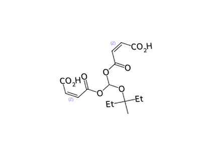 CCC(C)(CC)OC(OC(=O)/C=C\C(=O)O)OC(=O)/C=C\C(=O)O